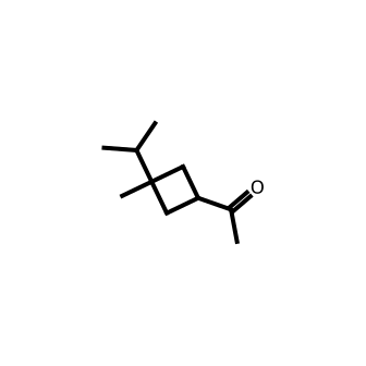 CC(=O)C1CC(C)(C(C)C)C1